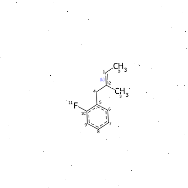 C/C=C(\C)Cc1ccccc1F